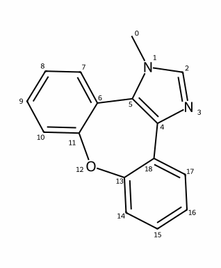 Cn1cnc2c1-c1ccccc1Oc1ccccc1-2